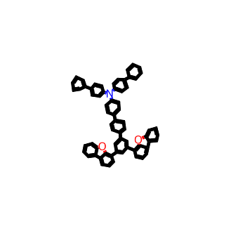 c1ccc(-c2ccc(N(c3ccc(-c4ccccc4)cc3)c3ccc(-c4ccc(-c5cc(-c6cccc7c6oc6ccccc67)cc(-c6cccc7c6oc6ccccc67)c5)cc4)cc3)cc2)cc1